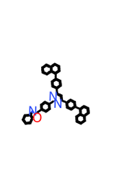 c1ccc2c(-c3ccc(-c4cc(-c5ccc(-c6cccc7ccccc67)cc5)nc(-c5ccc(-c6nc7ccccc7o6)cc5)n4)cc3)cccc2c1